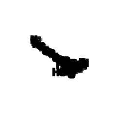 Cc1ncsc1-c1ccc(CNC(=O)[C@@H]2C[C@@H](O)CN2C(=O)[C@@H](NC(=O)COCCOCCOCCOCCOCCN=[N+]=[N-])C(C)(C)C)cc1